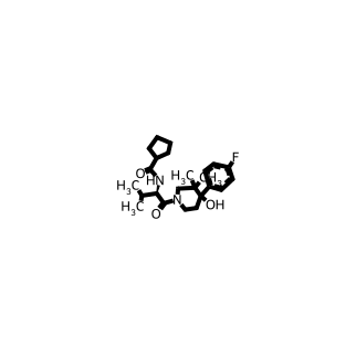 CC(C)[C@@H](NC(=O)C1CCCC1)C(=O)N1CCC(O)(c2ccc(F)cc2)C(C)(C)C1